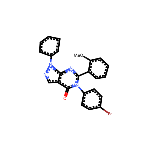 COc1ccccc1-c1nc2c(cnn2-c2ccccc2)c(=O)n1-c1ccc(Br)cc1